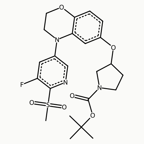 CC(C)(C)OC(=O)N1CCC(Oc2ccc3c(c2)N(c2cnc(S(C)(=O)=O)c(F)c2)CCO3)C1